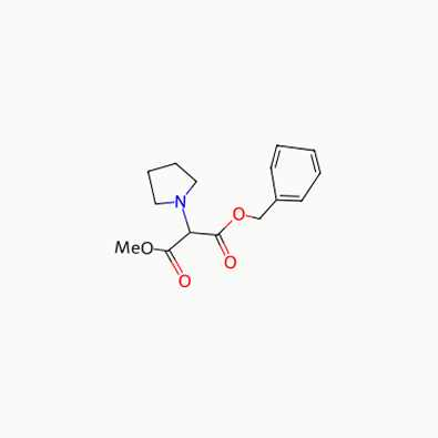 COC(=O)C(C(=O)OCc1ccccc1)N1CCCC1